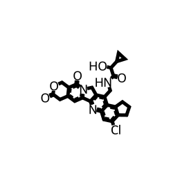 O=C1Cc2cc3n(c(=O)c2CO1)Cc1c-3nc2cc(Cl)c3c(c2c1CNC(=O)C(O)C1CC1)CCC3